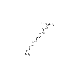 CCCCCCCCOCCCNC(C)O